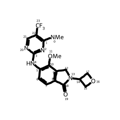 CNc1nc(Nc2ccc3c(c2OC)CN(C2COC2)C3=O)ncc1C(F)(F)F